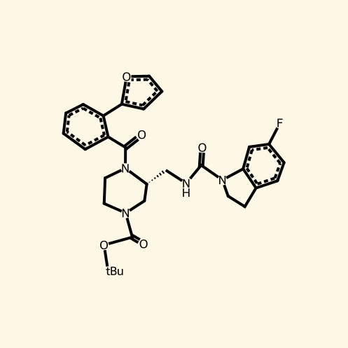 CC(C)(C)OC(=O)N1CCN(C(=O)c2ccccc2-c2ccco2)[C@H](CNC(=O)N2CCc3ccc(F)cc32)C1